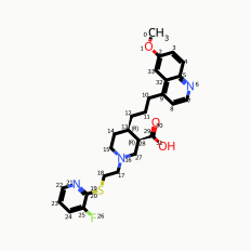 COc1ccc2nccc(CCC[C@@H]3CCN(CCSc4ncccc4F)C[C@@H]3C(=O)O)c2c1